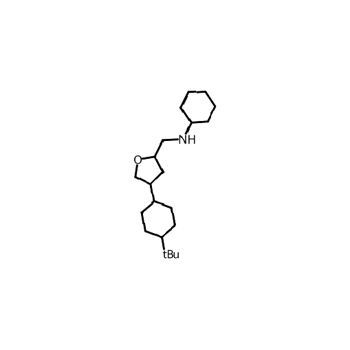 CC(C)(C)C1CCC(C2COC(CNC3CCCCC3)C2)CC1